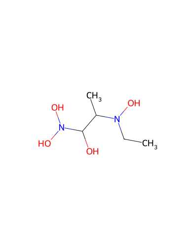 CCN(O)C(C)C(O)N(O)O